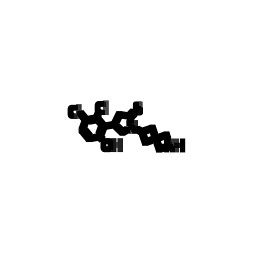 Oc1ccc(Cl)c(Cl)c1C1CC(=S)N(C2CC3(CNC3)C2)C1